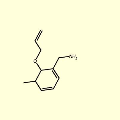 C=CCOC1C(CN)=CC=CC1C